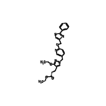 CCOC(=O)CCc1cn(Cc2ccc(OCc3csc(-c4ccccc4)n3)nc2)nc1OCC